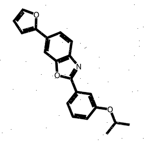 CC(C)Oc1cccc(-c2nc3ccc(-c4ccco4)cc3o2)c1